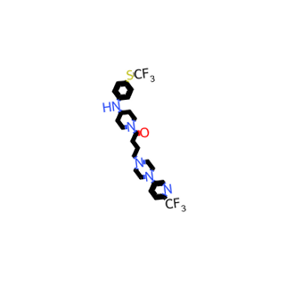 O=C(CCCN1CCN(c2ccc(C(F)(F)F)nc2)CC1)N1CCC(Nc2ccc(SC(F)(F)F)cc2)CC1